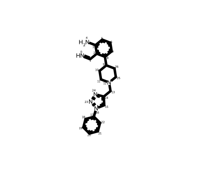 N=Cc1c(N)cccc1C1CCN(Cc2cn(-c3ccccc3)nn2)CC1